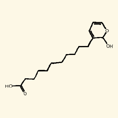 O=C(O)CCCCCCCCCCC1=CC=COC1O